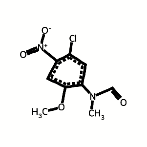 COc1cc([N+](=O)[O-])c(Cl)cc1N(C)C=O